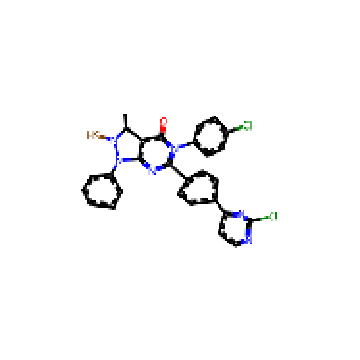 CC1c2c(nc(-c3ccc(-c4ccnc(Cl)n4)cc3)n(-c3ccc(Cl)cc3)c2=O)N(c2ccccc2)N1S